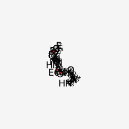 CCc1cc(Nc2nccn3c(-c4ccc(OC(F)F)c(F)c4F)cnc23)ccc1C(=O)N1CCC(C(=O)N2CC3(C2)C[N+](C)(CC2CNC2)C3)CC1